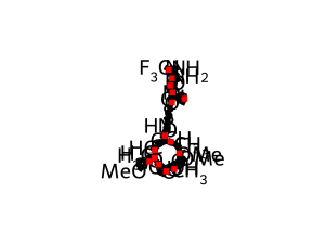 COC1CCC[C@@H](/C=C(\C)[C@H]2OC(=O)C3CCCCN3C(=O)C(=O)C3(O)OC(C(OC)CC(C)C/C(C)=C\[C@H](C/C=C/C(=O)NCCSSCCOC(=O)N(c4ccc(Cn5c(=O)[nH]c6c(N)nc(C(F)(F)F)cc65)cn4)N4CCCCC4)C(=O)C[C@H](O)[C@H]2C)C(OC)CC3C)C1